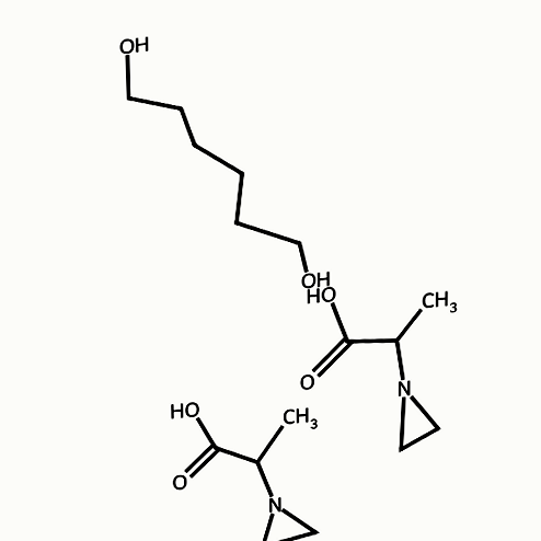 CC(C(=O)O)N1CC1.CC(C(=O)O)N1CC1.OCCCCCCO